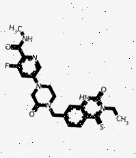 CCn1c(=O)[nH]c2cc(CN3CCN(c4cnc(C(=O)NC)c(F)c4)CC3=O)ccc2c1=S